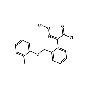 CCON=C(C(=O)Cl)c1ccccc1COc1ccccc1C